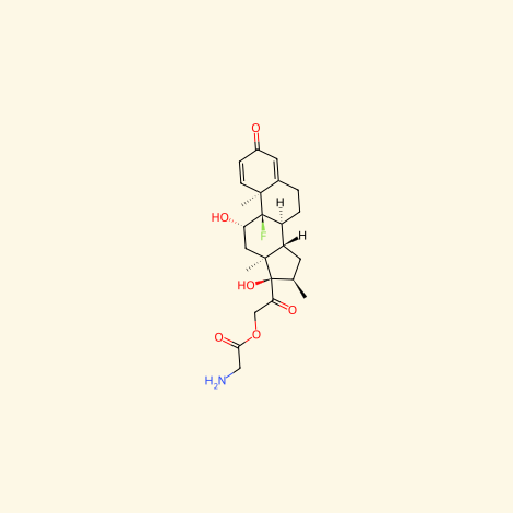 C[C@@H]1C[C@H]2[C@@H]3CCC4=CC(=O)C=C[C@]4(C)[C@@]3(F)[C@@H](O)C[C@]2(C)[C@@]1(O)C(=O)COC(=O)CN